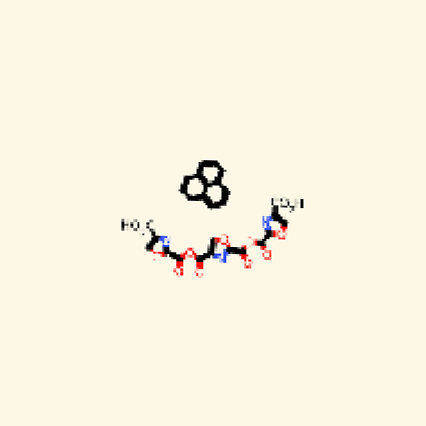 C1=Cc2cccc3cccc(c23)C1.O=C(O)c1coc(C(=O)OC(=O)c2coc(C(=O)OC(=O)c3nc(C(=O)O)co3)n2)n1